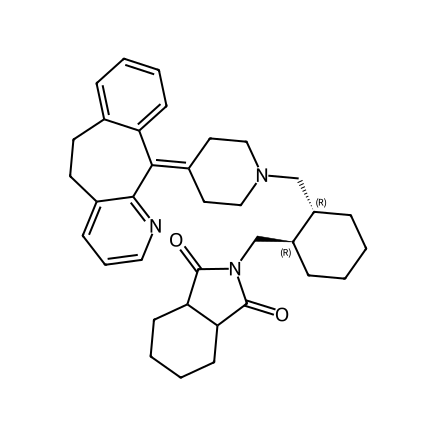 O=C1C2CCCCC2C(=O)N1C[C@@H]1CCCC[C@H]1CN1CCC(=C2c3ccccc3CCc3cccnc32)CC1